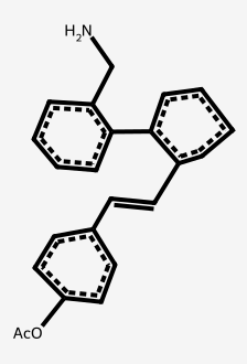 CC(=O)Oc1ccc(/C=C/c2ccccc2-c2ccccc2CN)cc1